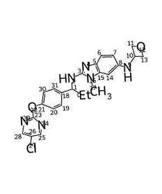 CCC(Nc1nc2ccc(NC3COC3)cc2n1C)c1ccc(Oc2ncc(Cl)cn2)cc1